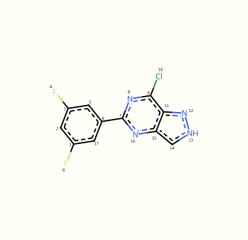 Fc1cc(F)cc(-c2nc(Cl)c3n[nH]cc3n2)c1